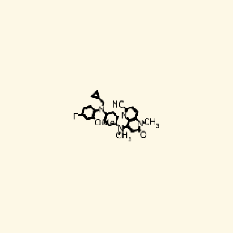 COc1cc(F)ccc1N(CC1CC1)C1CCC(N(C)c2cc(=O)n(C)c3ccc(C#N)nc23)CC1